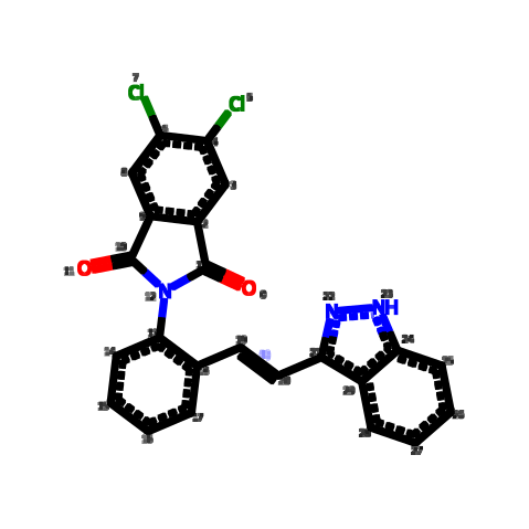 O=C1c2cc(Cl)c(Cl)cc2C(=O)N1c1ccccc1/C=C/c1n[nH]c2ccccc12